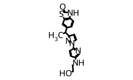 CC(c1ccc2[nH]c(=O)sc2c1)c1ccn(-c2ccc(NCCO)cn2)n1